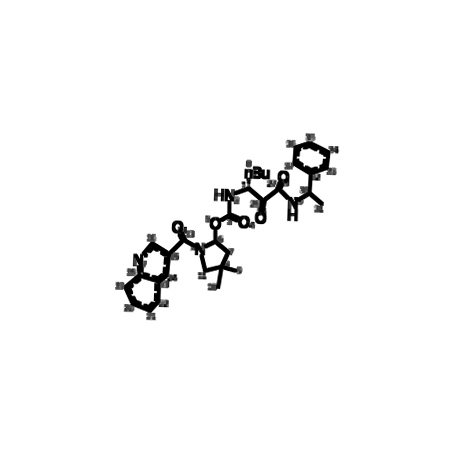 CCCC[C@@H](NC(=O)OC1CC(C)(C)CN1C(=O)c1cnc2ccccc2c1)C(=O)C(=O)NC(C)c1ccccc1